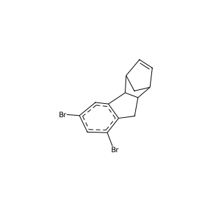 Brc1cc(Br)c2c(c1)C1C3C=CC(C3)C1C2